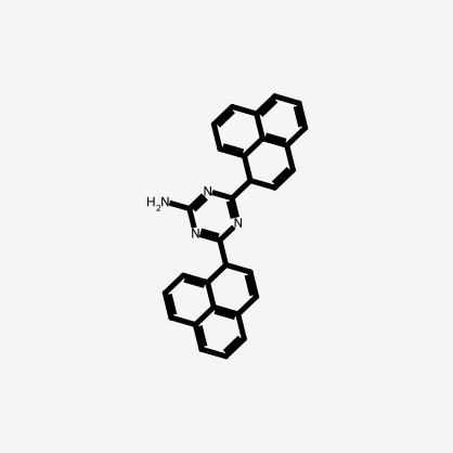 Nc1nc(C2C=Cc3cccc4cccc2c34)nc(C2C=Cc3cccc4cccc2c34)n1